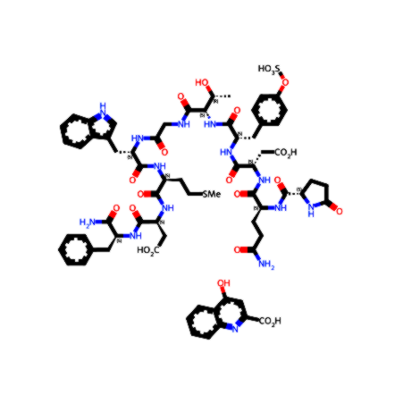 CSCC[C@H](NC(=O)[C@H](Cc1c[nH]c2ccccc12)NC(=O)CNC(=O)[C@@H](NC(=O)[C@H](Cc1ccc(OS(=O)(=O)O)cc1)NC(=O)[C@H](CC(=O)O)NC(=O)[C@H](CCC(N)=O)NC(=O)[C@@H]1CCC(=O)N1)[C@@H](C)O)C(=O)N[C@@H](CC(=O)O)C(=O)N[C@@H](Cc1ccccc1)C(N)=O.O=C(O)c1cc(O)c2ccccc2n1